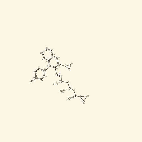 O=C(C[C@H](O)C[C@H](O)/C=C/c1c(C2CC2)nc2ccccc2c1-c1ccc(F)cc1)C1CO1